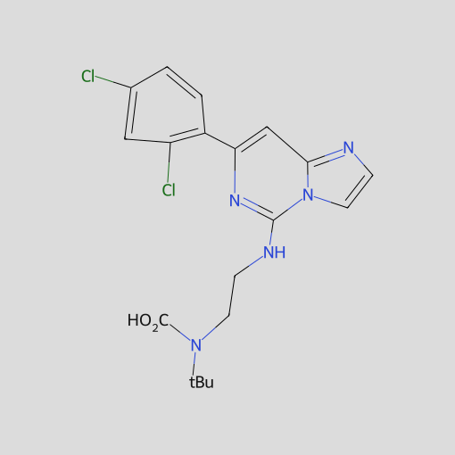 CC(C)(C)N(CCNc1nc(-c2ccc(Cl)cc2Cl)cc2nccn12)C(=O)O